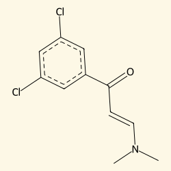 CN(C)C=CC(=O)c1cc(Cl)cc(Cl)c1